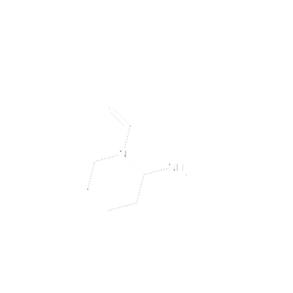 NC1CCCCN1C=S